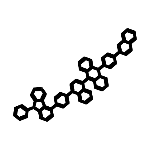 C1=CC2=C(c3ccc(-c4ccc(-c5cccc6c5c5cnccc5n6-c5ccccc5)cc4)c4ccccc34)c3ccccc3C(c3ccc(-c4ccc5ccccc5c4)cc3)C2C=C1